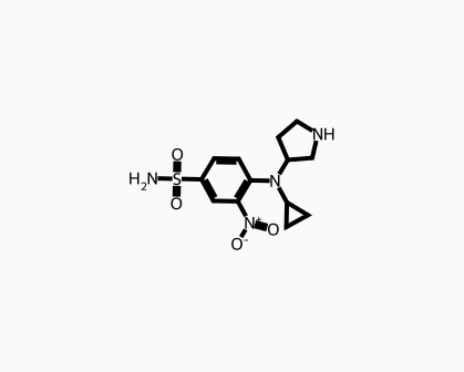 NS(=O)(=O)c1ccc(N(C2CC2)C2CCNC2)c([N+](=O)[O-])c1